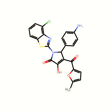 Cc1ccc(C(=O)C2=C(O)C(=O)N(c3nc4c(Cl)cccc4s3)C2c2ccc(N)cc2)o1